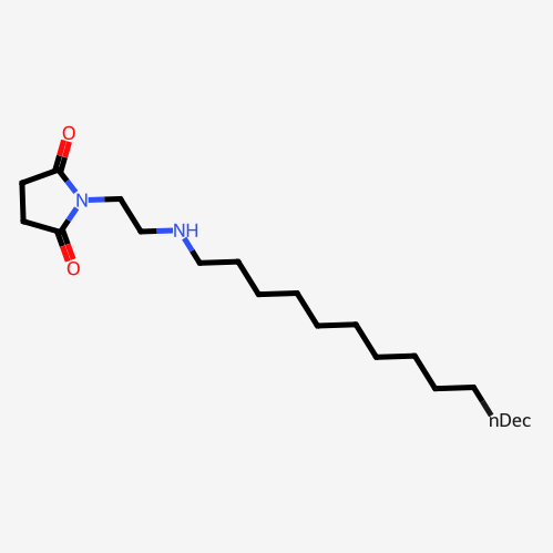 CCCCCCCCCCCCCCCCCCCCNCCN1C(=O)CCC1=O